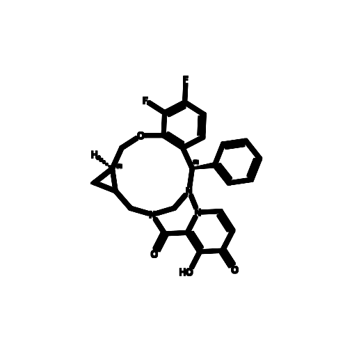 O=C1c2c(O)c(=O)ccn2N2CN1CC1C[C@H]1COc1c(ccc(F)c1F)[C@H]2c1ccccc1